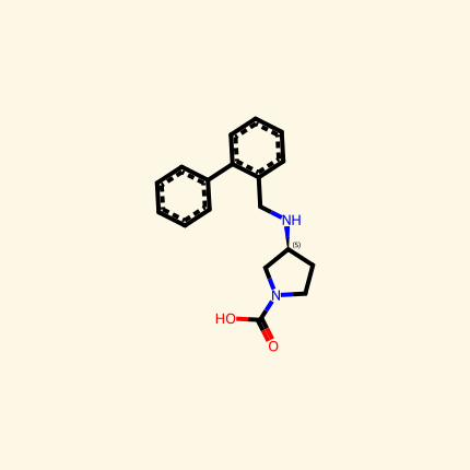 O=C(O)N1CC[C@H](NCc2ccccc2-c2ccccc2)C1